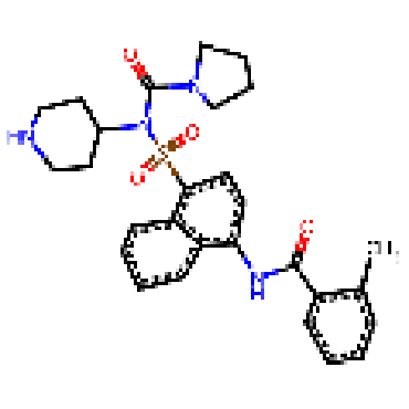 Cc1ccccc1C(=O)Nc1ccc(S(=O)(=O)N(C(=O)N2CCCC2)C2CCNCC2)c2ccccc12